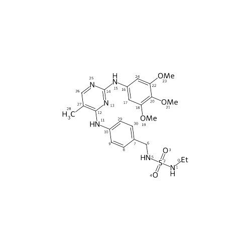 CCNS(=O)(=O)NCc1ccc(Nc2nc(Nc3cc(OC)c(OC)c(OC)c3)ncc2C)cc1